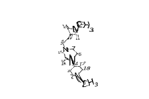 CN1CCC(N2CCN(CC3CN(C)C3)CC2)CC1